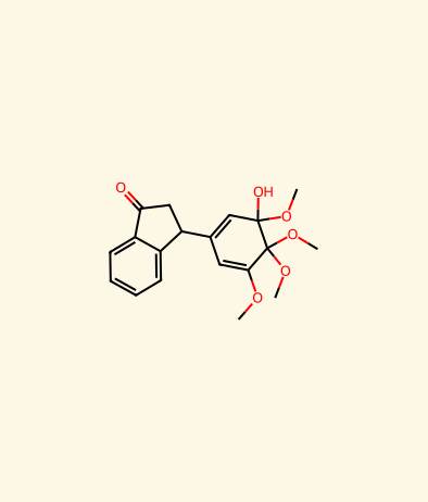 COC1=CC(C2CC(=O)c3ccccc32)=CC(O)(OC)C1(OC)OC